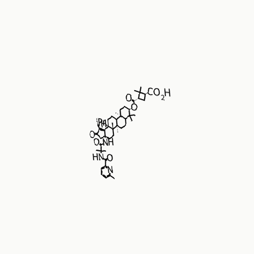 Cc1cccc(C(=O)NC(C)(C)C(=O)N[C@@]23CC[C@]4(C)[C@H](CCC5[C@@]6(C)CC[C@H](OC(=O)[C@H]7C[C@@H](C(=O)O)C7(C)C)C(C)(C)C6CC[C@]54C)C2=C(C(C)C)C(=O)C3)n1